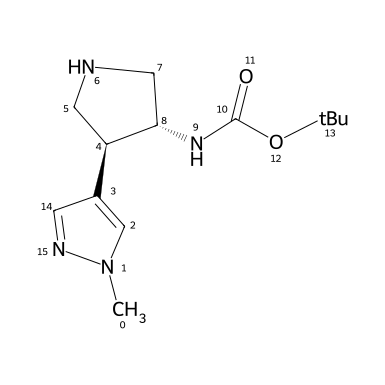 Cn1cc([C@H]2CNC[C@@H]2NC(=O)OC(C)(C)C)cn1